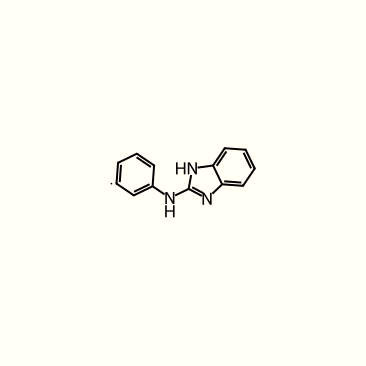 [c]1cccc(Nc2nc3ccccc3[nH]2)c1